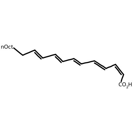 CCCCCCCCCC=CC=CC=CC=C/C=C\C(=O)O